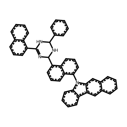 c1ccc(C2NC(c3cccc4ccccc34)=NC(c3cccc4c(-n5c6ccccc6c6cc7ccccc7cc65)cccc34)N2)cc1